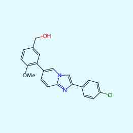 COc1ccc(CO)cc1-c1ccc2nc(-c3ccc(Cl)cc3)cn2c1